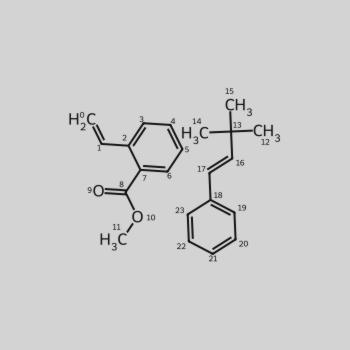 C=Cc1ccccc1C(=O)OC.CC(C)(C)C=Cc1ccccc1